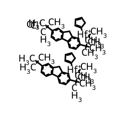 C[CH](C)[Hf+]([C]1=CC=CC1)[c]1c(C(C)(C)C)ccc2c1Cc1cc(C(C)(C)C)ccc1-2.C[CH](C)[Hf+]([C]1=CC=CC1)[c]1c(C(C)(C)C)ccc2c1Cc1cc(C(C)(C)C)ccc1-2.[Cl-].[Cl-]